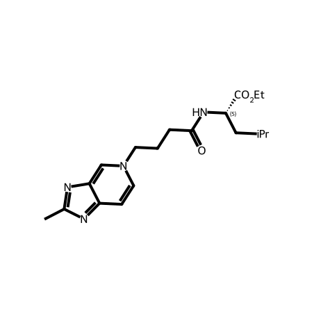 CCOC(=O)[C@H](CC(C)C)NC(=O)CCCn1ccc2nc(C)nc-2c1